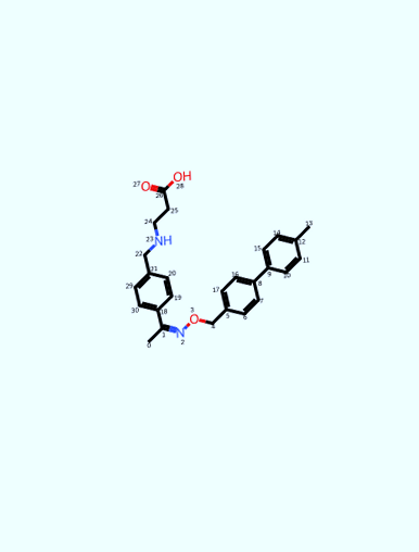 CC(=NOCc1ccc(-c2ccc(C)cc2)cc1)c1ccc(CNCCC(=O)O)cc1